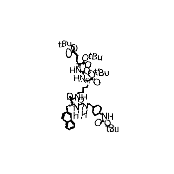 CC(C)(C)OC(=O)CC[C@H](NC(=O)N[C@@H](CCCCNC(=O)[C@H](Cc1ccc2ccccc2c1)NC(=O)NCC1CCC(NC(=O)OC(C)(C)C)CC1)C(=O)OC(C)(C)C)C(=O)OC(C)(C)C